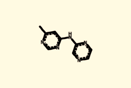 Cc1cc(Nc2cnccn2)ncn1